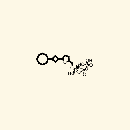 O=P(O)(O)OP(=O)(O)OP(=O)(O)OCC1CCC(C2CC(C3CCCCCCC3)C2)O1